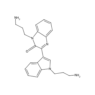 NCCCn1cc(-c2nc3ccccc3n(CCCN)c2=O)c2ccccc21